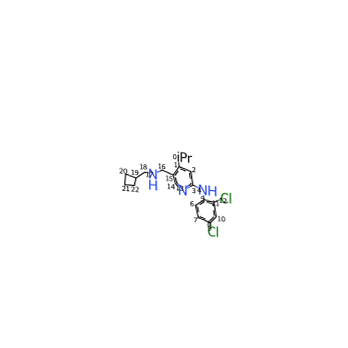 CC(C)c1cc(Nc2ccc(Cl)cc2Cl)ncc1CNCC1CCC1